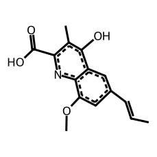 CC=Cc1cc(OC)c2nc(C(=O)O)c(C)c(O)c2c1